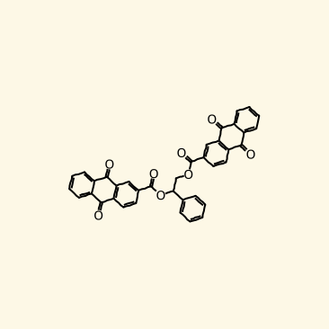 O=C(OCC(OC(=O)c1ccc2c(c1)C(=O)c1ccccc1C2=O)c1ccccc1)c1ccc2c(c1)C(=O)c1ccccc1C2=O